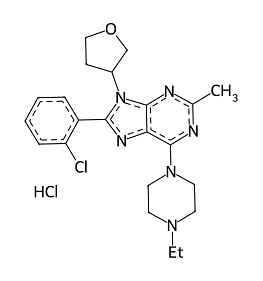 CCN1CCN(c2nc(C)nc3c2nc(-c2ccccc2Cl)n3C2CCOC2)CC1.Cl